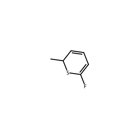 CC1C=CC=C(F)S1